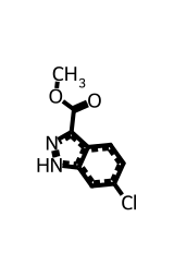 COC(=O)c1n[nH]c2cc(Cl)ccc12